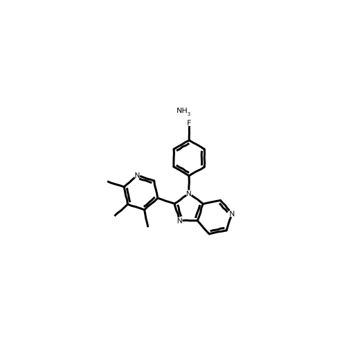 Cc1ncc(-c2nc3ccncc3n2-c2ccc(F)cc2)c(C)c1C.N